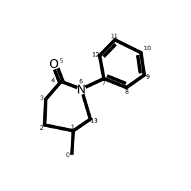 CC1CCC(=O)N(c2ccccc2)C1